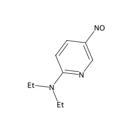 CCN(CC)c1ccc(N=O)cn1